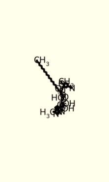 CCCCCCCCCCCCCCCCCCOC[C@H](COP(=O)(O)OC[C@H]1O[C@@](C#N)(c2ccc3c(C)ncnn23)[C@H](O)[C@@H]1O)OCc1cc(C#N)ccc1OC